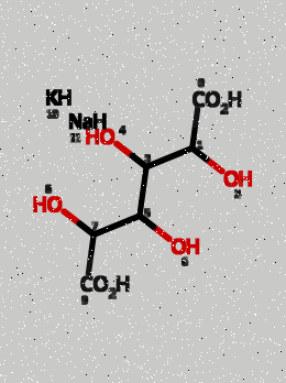 O=C(O)C(O)C(O)C(O)C(O)C(=O)O.[KH].[NaH]